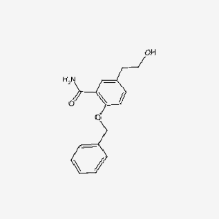 NC(=O)c1cc(CCO)ccc1OCc1ccccc1